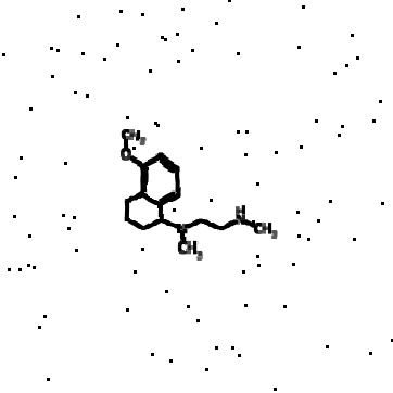 CNCCN(C)C1CCCc2c(OC)cccc21